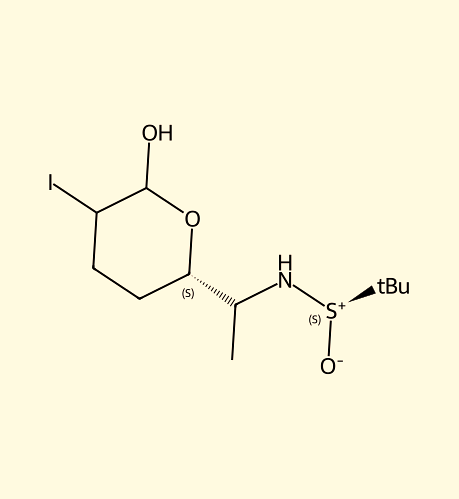 CC(N[S@+]([O-])C(C)(C)C)[C@@H]1CCC(I)C(O)O1